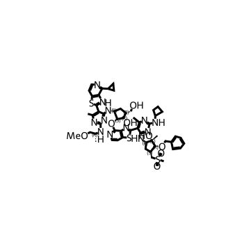 COC[C@@H](C)Nc1nc(C)c(-c2nc3c(C4CC4)nccc3s2)c(N[C@@H]2C[C@H](CO)[C@@H](O)[C@H]2Oc2nccc3sc(-c4c(C)nc(NC5CCC5)nc4N[C@@H]4C[C@H](CS(C)(=O)=O)[C@@H](OCc5ccccc5)[C@@]4(C)O)nc23)n1